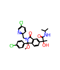 CO[C@]1(c2ccc(Cl)cc2)c2ccc(C(C)(O)C(=O)NC(C)C)cc2C(=O)N1Cc1ccc(Cl)cn1